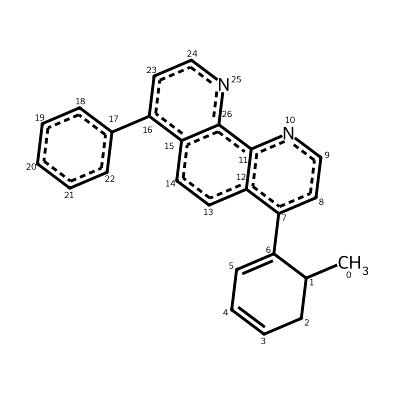 CC1CC=CC=C1c1ccnc2c1ccc1c(-c3ccccc3)ccnc12